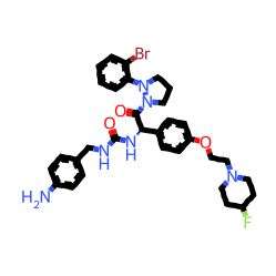 Nc1ccc(CNC(=O)N[C@H](C(=O)N2CCCN2c2ccccc2Br)c2ccc(OCCN3CCC(F)CC3)cc2)cc1